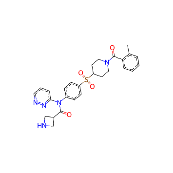 Cc1ccccc1C(=O)N1CCC(S(=O)(=O)c2ccc(N(C(=O)C3CNC3)c3cccnn3)cc2)CC1